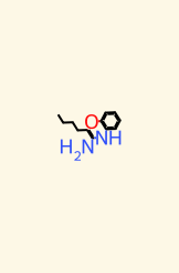 CCCCC1=C(N)Nc2ccccc2O1